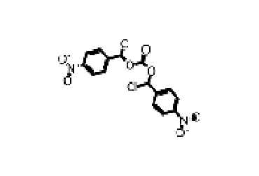 O=C(OC(Cl)c1ccc([N+](=O)[O-])cc1)OC(Cl)c1ccc([N+](=O)[O-])cc1